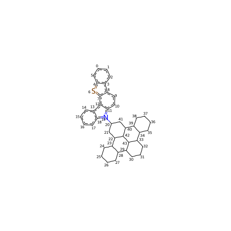 c1ccc2c(c1)sc1c2ccc2c1c1ccccc1n2C1CC2C3CCCCC3C3CCCC4C5CCCCC5C(C1)C2C34